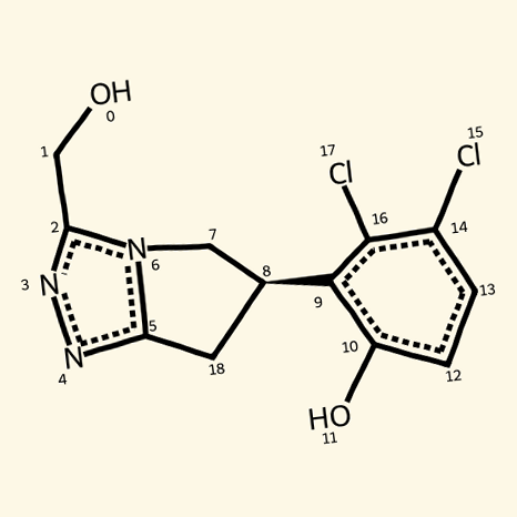 OCc1nnc2n1C[C@@H](c1c(O)ccc(Cl)c1Cl)C2